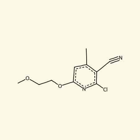 COCCOc1cc(C)c(C#N)c(Cl)n1